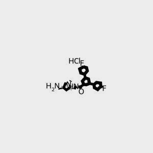 CN1C[C@H](CN)C[C@H]1CNC(=O)c1cc(-c2ccc(F)cc2)cc(-c2ccc(F)cc2)c1.Cl